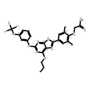 CCCOc1nc(Oc2cccc(OC(F)(F)F)c2)nc2oc(-c3cc(C)c(OCC(=O)O)c(C)c3)nc12